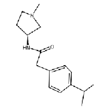 CC(C)c1ccc(CC(=O)N[C@H]2CCN(C)C2)cc1